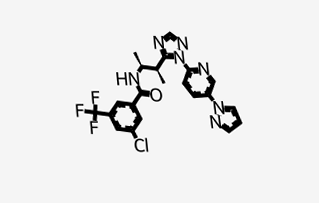 C[C@H](NC(=O)c1cc(Cl)cc(C(F)(F)F)c1)[C@H](C)c1ncnn1-c1ccc(-n2cccn2)cn1